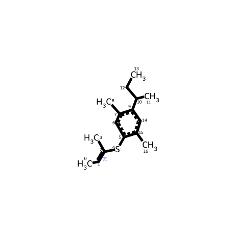 C/C=C(\C)Sc1cc(C)c(C(C)CC)cc1C